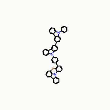 c1ccc(-n2c3ccccc3c3cc(-c4ccc5c(c4)c4ccccc4n5-c4ccc(-c5cccc6c5Sc5cccc7c8ccccc8n-6c57)cc4)ccc32)cc1